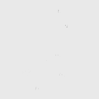 CCC(C(=O)O)C(=O)COCCn1ccnc1